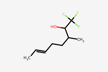 CC=CCCC(C)C(O)C(F)(F)F